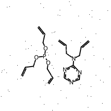 C=CCN(CC=C)c1ncncn1.C=CCOP(OCC=C)OCC=C